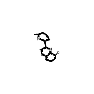 Cc1cccc(-c2[c]cc3cccc(Cl)c3n2)n1